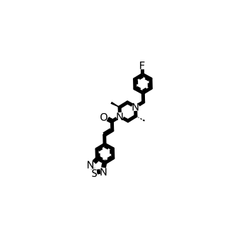 C[C@@H]1CN(C(=O)C=Cc2ccc3nsnc3c2)[C@@H](C)CN1Cc1ccc(F)cc1